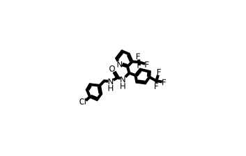 O=C(NCc1ccc(Cl)cc1)NC(c1ccc(C(F)(F)F)cc1)c1ncccc1C(F)(F)F